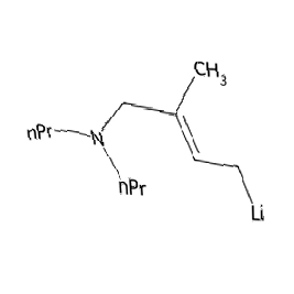 [Li][CH2]C=C(C)CN(CCC)CCC